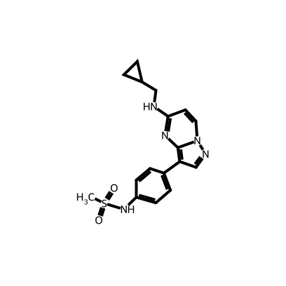 CS(=O)(=O)Nc1ccc(-c2cnn3ccc(NCC4CC4)nc23)cc1